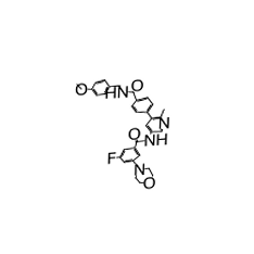 COc1ccc(CNC(=O)c2ccc(-c3cc(NC(=O)c4cc(F)cc(N5CCOCC5)c4)cnc3C)cc2)cc1